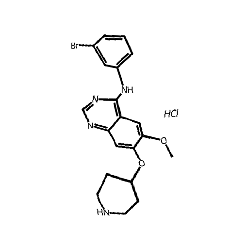 COc1cc2c(Nc3cccc(Br)c3)ncnc2cc1OC1CCNCC1.Cl